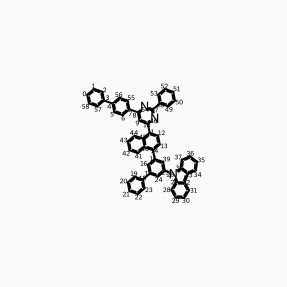 c1ccc(-c2ccc(-c3cc(-c4ccc(-c5cc(-c6ccccc6)cc(-n6c7ccccc7c7ccccc76)c5)c5ccccc45)nc(-c4ccccc4)n3)cc2)cc1